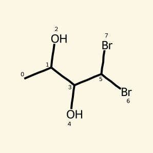 CC(O)C(O)C(Br)Br